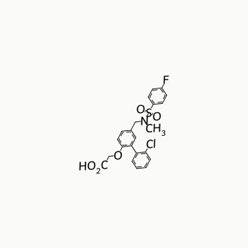 CN(Cc1ccc(OCC(=O)O)c(-c2ccccc2Cl)c1)S(=O)(=O)c1ccc(F)cc1